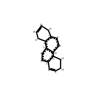 C1=Cc2ccc3c4c(ccc3c2CC1)CC=CC4